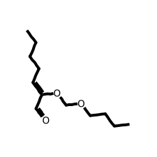 CCCCC=C(C=O)OCOCCCC